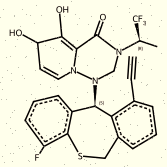 C#Cc1cccc2c1[C@H](N1CN([C@H](C)C(F)(F)F)C(=O)C3=C(O)C(O)C=CN31)c1cccc(F)c1SC2